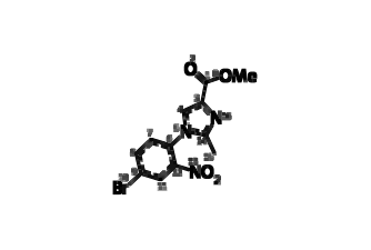 COC(=O)c1cn(-c2ccc(Br)cc2[N+](=O)[O-])c(C)n1